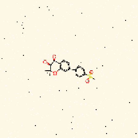 CC1(C)Oc2cc(-c3ccc(S(C)(=O)=O)cc3)ccc2C(=O)C1=O